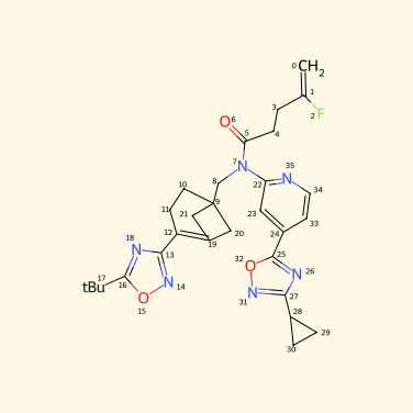 C=C(F)CCC(=O)N(CC12CCC(c3noc(C(C)(C)C)n3)=C(C1)C2)c1cc(-c2nc(C3CC3)no2)ccn1